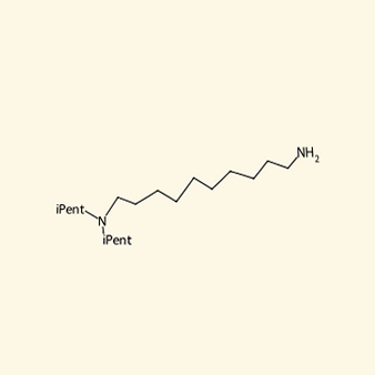 CCCC(C)N(CCCCCCCCCCN)C(C)CCC